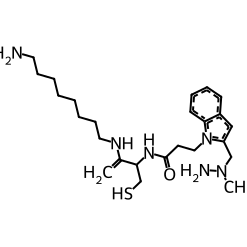 C=C(NCCCCCCCCN)C(CS)NC(=O)CCn1c(CN(C)N)cc2ccccc21